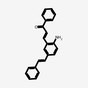 Nc1ccc(/C=C/c2ccccc2)cc1/C=C/C(=O)c1ccccc1